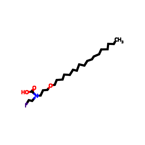 CCCCCCCCCCCCCCCCCCOCCCN(CCI)C(=O)O